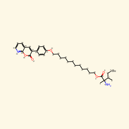 CC(CC(C)(C)C)C(C)(N)C(=O)OCCCCCCCCCCCCOc1ccc(-c2cc3cccnc3oc2=O)cc1